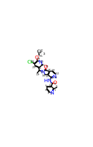 Cc1ncccc1C(=O)Nc1nccc2c1CN(C(C)c1cnc(OCC(F)(F)F)c(Cl)c1)C2=O